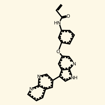 C=CC(=O)Nc1cccc(Oc2cnc3[nH]cc(-c4cnc5ncccc5c4)c3c2)c1